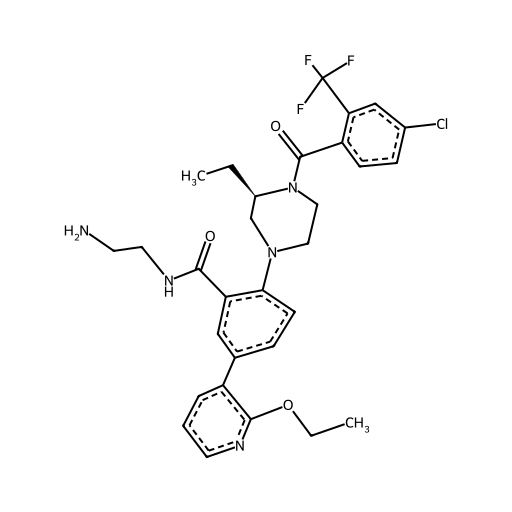 CCOc1ncccc1-c1ccc(N2CCN(C(=O)c3ccc(Cl)cc3C(F)(F)F)[C@H](CC)C2)c(C(=O)NCCN)c1